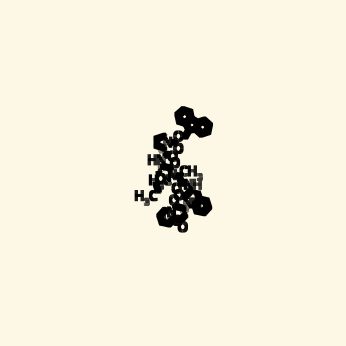 CCCOC[C@H](NC(=O)[C@@H]1CCCN1C(=O)OCC1c2ccccc2-c2ccccc21)C(=O)N(C)[C@@H](C)C(=O)N[C@@H](Cc1ccccc1)C(=O)N[C@@H](CC(=O)O)C(=O)N1CCCCC1